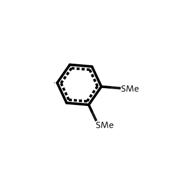 CSc1c[c]ccc1SC